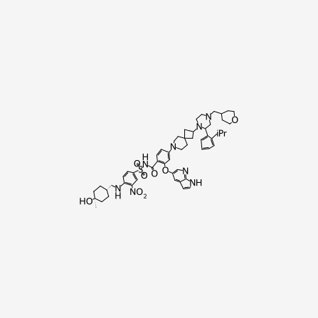 CC(C)c1ccccc1C1CN(CC2CCOCC2)CCN1C1CC2(CCN(c3ccc(C(=O)NS(=O)(=O)c4ccc(NC[C@H]5CC[C@](C)(O)CC5)c([N+](=O)[O-])c4)c(Oc4cnc5[nH]ccc5c4)c3)CC2)C1